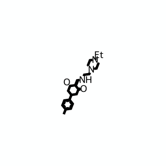 CCN1CCN(CCNC=C2C(=O)CC(c3ccc(C)cc3)CC2=O)CC1